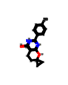 O=Nc1ccc(-c2nc3c(c(=O)[nH]2)CCC2(CC2)O3)cc1